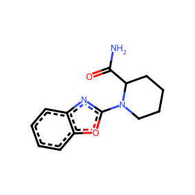 NC(=O)C1CCCCN1c1nc2ccccc2o1